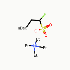 CCCCCCCCCCCC(F)S(=O)(=O)[O-].CC[N+](CC)(CC)CC